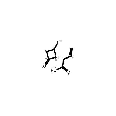 C=CCC(=O)O.O=C1CC(F)N1